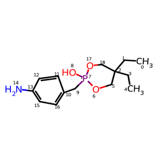 CCC1(CC)CO[P](O)(Cc2ccc(N)cc2)OC1